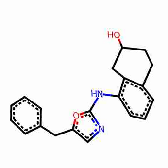 OC1CCc2cccc(Nc3ncc(Cc4ccccc4)o3)c2C1